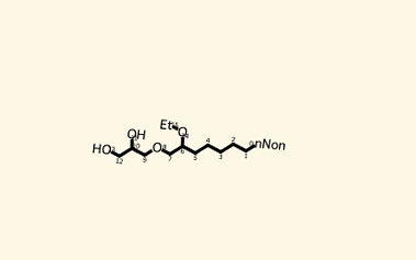 CCCCCCCCCCCCCCC(COCC(O)CO)OCC